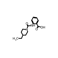 CCC1CCN(C(=O)Nc2ccccc2C(=O)O)CC1